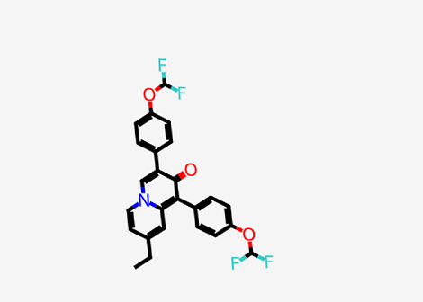 CCc1ccn2cc(-c3ccc(OC(F)F)cc3)c(=O)c(-c3ccc(OC(F)F)cc3)c2c1